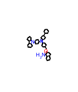 Nc1c(OCc2ccc(N(c3ccc(-c4ccccc4)cc3)c3ccc(-n4c5ccccc5c5ccccc54)cc3)cc2)ccc2ccccc12